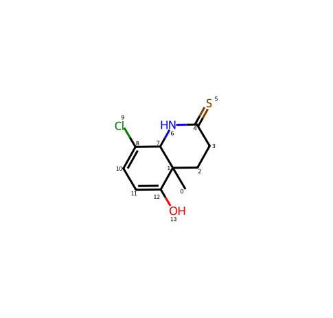 CC12CCC(=S)NC1C(Cl)=CC=C2O